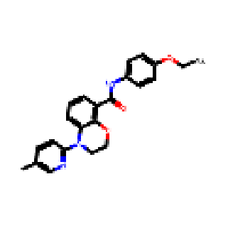 Cc1ccc(N2CCOc3c(C(=O)Nc4ccc(OCC(C)(C)C)cc4)cccc32)nc1